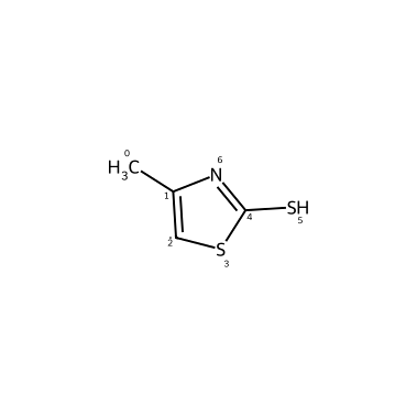 Cc1[c]sc(S)n1